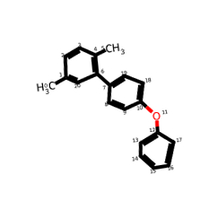 Cc1ccc(C)c(-c2ccc(Oc3ccccc3)cc2)c1